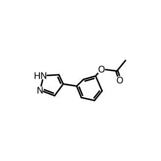 CC(=O)Oc1cccc(-c2cn[nH]c2)c1